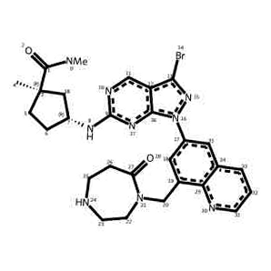 CNC(=O)[C@]1(C)CC[C@@H](Nc2ncc3c(Br)nn(-c4cc(CN5CCNCCC5=O)c5ncccc5c4)c3n2)C1